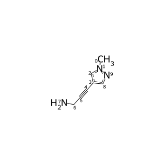 Cn1cc(C#CCN)cn1